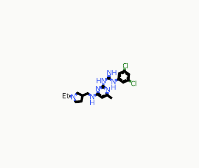 CCN1CCC(CNc2cc(C)nc(NC(=N)Nc3cc(Cl)cc(Cl)c3)n2)C1